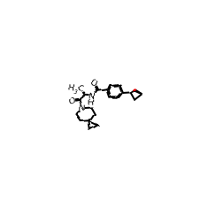 CC(NC(=O)c1ccc(C23CC(C2)C3)cc1)C(=O)N1CCC2(CC1)CC2